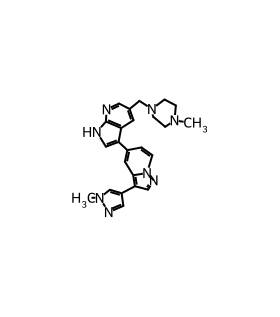 CN1CCN(Cc2cnc3[nH]cc(-c4ccn5ncc(-c6cnn(C)c6)c5c4)c3c2)CC1